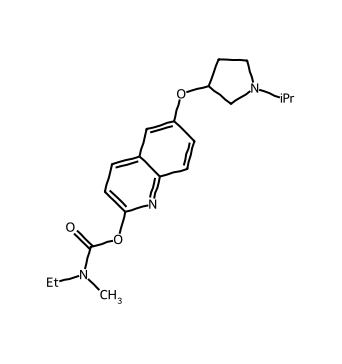 CCN(C)C(=O)Oc1ccc2cc(OC3CCN(C(C)C)C3)ccc2n1